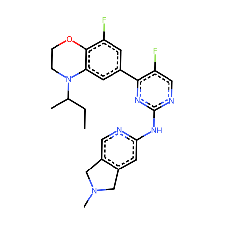 CCC(C)N1CCOc2c(F)cc(-c3nc(Nc4cc5c(cn4)CN(C)C5)ncc3F)cc21